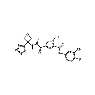 Cn1cc(C(=O)C(=O)NC2(c3cn[nH]n3)COC2)cc1C(=O)Nc1ccc(F)c(C#N)c1